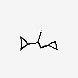 [O]C(CC1CC1)C1CC1